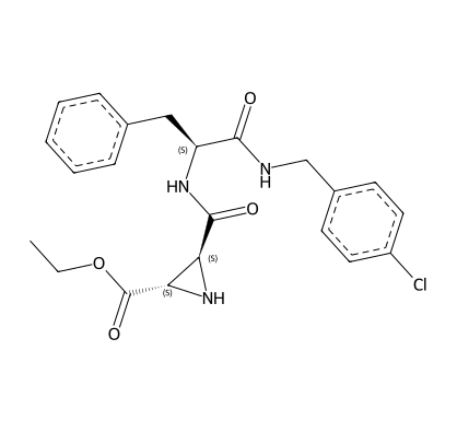 CCOC(=O)[C@H]1N[C@@H]1C(=O)N[C@@H](Cc1ccccc1)C(=O)NCc1ccc(Cl)cc1